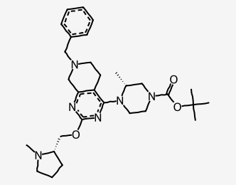 C[C@@H]1CN(C(=O)OC(C)(C)C)CCN1c1nc(OC[C@@H]2CCCN2C)nc2c1CCN(Cc1ccccc1)C2